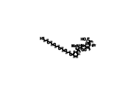 CN[C@H](C(=O)N[C@H](C(=O)N(C)[C@H](C=C(C)C(=O)O)C(C)C)C(C)(C)C)C(C)(C)c1cccc(OCCOCCOCCOCCOCCS)c1